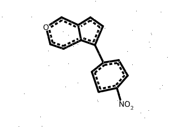 O=[N+]([O-])c1ccc(-c2ccc3coccc2-3)cc1